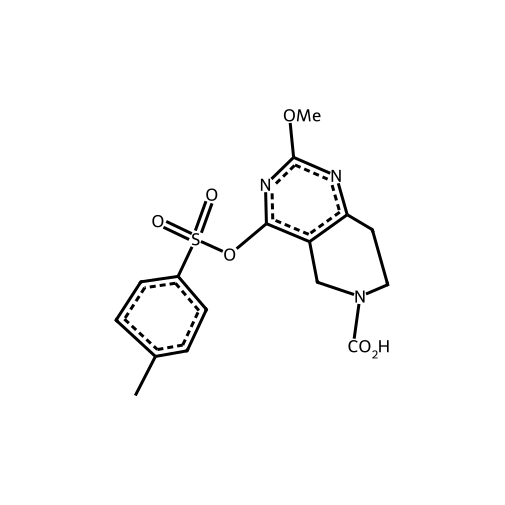 COc1nc2c(c(OS(=O)(=O)c3ccc(C)cc3)n1)CN(C(=O)O)CC2